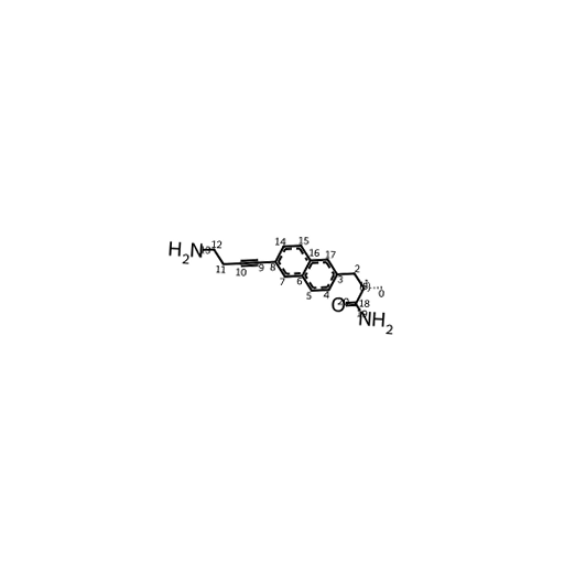 C[C@@H](Cc1ccc2cc(C#CCCN)ccc2c1)C(N)=O